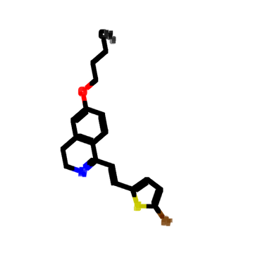 CCCCOc1ccc2c(c1)CCN=C2C=Cc1ccc(Br)s1